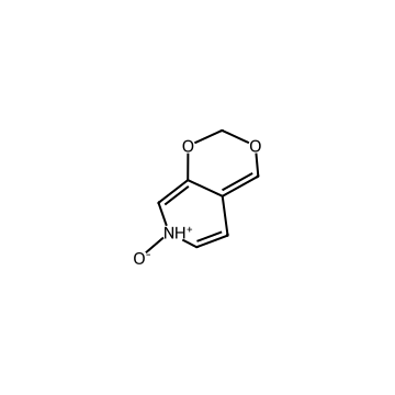 [O-][NH+]1C=CC2=COCOC2=C1